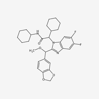 COC(c1ccc2c(c1)OCO2)c1nc2cc(F)c(F)cc2n1C(C(=O)NC1CCCCC1)C1CCCCC1